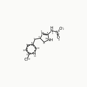 O=[N+]([O-])NC1=NC(Cc2ccc(Cl)nc2)CN1